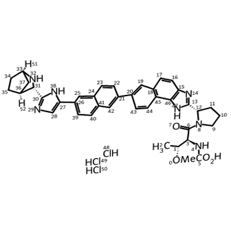 CO[C@H](C)[C@H](NC(=O)O)C(=O)N1CCC[C@H]1c1nc2ccc3cc(-c4ccc5cc(-c6cnc([C@H]7N[C@@H]8CC[C@H]7C8)[nH]6)ccc5c4)ccc3c2[nH]1.Cl.Cl.Cl